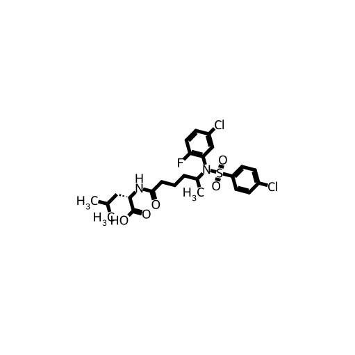 CC(C)C[C@H](NC(=O)CCCC(C)N(c1cc(Cl)ccc1F)S(=O)(=O)c1ccc(Cl)cc1)C(=O)O